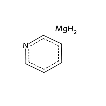 [MgH2].c1ccncc1